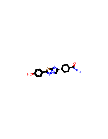 NC(=O)[C@H]1CC[C@H](c2cn3nc(-c4ccc(O)cc4)sc3n2)CC1